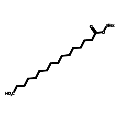 CCCCCCOC(=O)CCCCCCCCCCCCCCC(=O)O